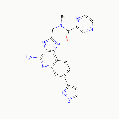 CCN(Cc1nc2c(N)nc3cc(-c4cc[nH]n4)ccc3c2[nH]1)C(=O)c1cnccn1